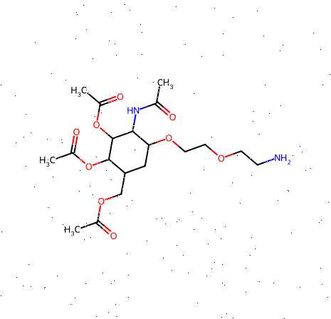 CC(=O)NC1C(OCCOCCN)CC(COC(C)=O)C(OC(C)=O)C1OC(C)=O